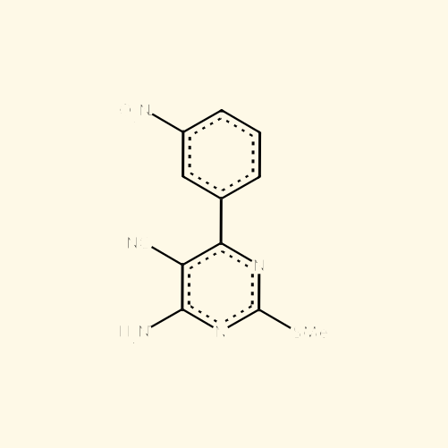 CSc1nc(N)c(C#N)c(-c2cccc([N+](=O)[O-])c2)n1